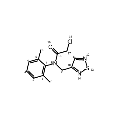 Cc1cccc(C)c1N(Cc1cnsn1)C(=O)CCl